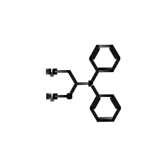 CCC(OC)P(c1ccccc1)c1ccccc1